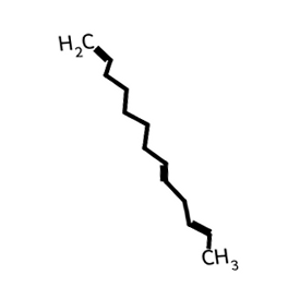 C=CCCCCCC=CCC=CC